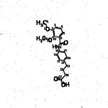 COc1cccc(C(=O)Nc2ccc(CCCC(=O)O)cc2)c1OC